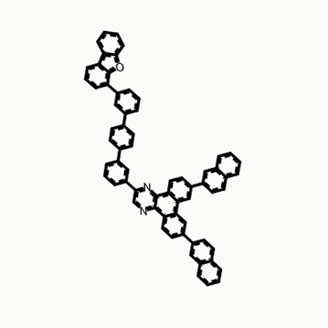 c1cc(-c2ccc(-c3cccc(-c4cccc5c4oc4ccccc45)c3)cc2)cc(-c2cnc3c4ccc(-c5ccc6ccccc6c5)cc4c4cc(-c5ccc6ccccc6c5)ccc4c3n2)c1